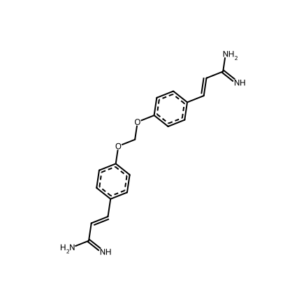 N=C(N)/C=C/c1ccc(OCOc2ccc(/C=C/C(=N)N)cc2)cc1